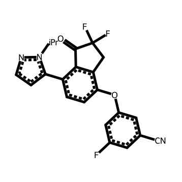 CC(C)n1nccc1-c1ccc(Oc2cc(F)cc(C#N)c2)c2c1C(=O)C(F)(F)C2